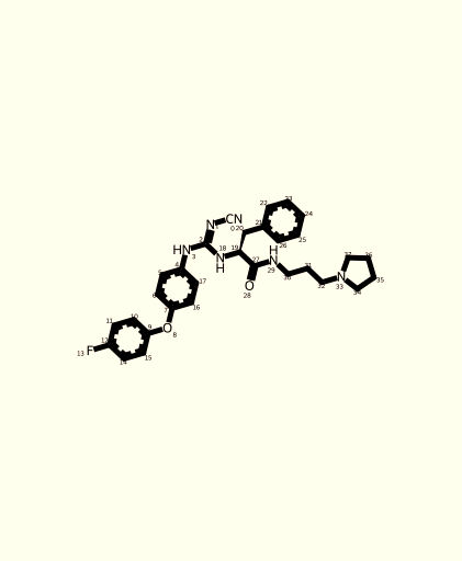 N#C/N=C(/Nc1ccc(Oc2ccc(F)cc2)cc1)N[C@@H](Cc1ccccc1)C(=O)NCCCN1CCCC1